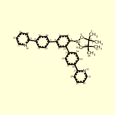 CC1(C)OB(c2ccc(-c3ccc(-c4ccccn4)cc3)cc2-c2ccc(-c3ccccn3)cc2)OC1(C)C